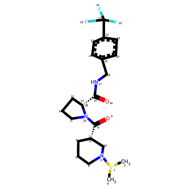 C[S+](C)N1CCC[C@H](C(=O)N2CCC[C@@H]2C(=O)NCc2ccc(C(F)(F)F)cc2)C1